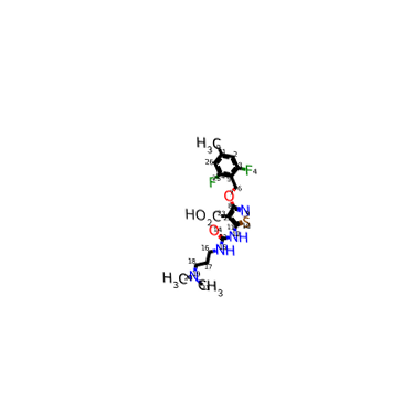 Cc1cc(F)c(COc2nsc(NC(=O)NCCCN(C)C)c2C(=O)O)c(F)c1